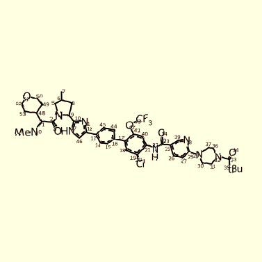 CNC(C(=O)N1CC(C)CC1c1nc(-c2ccc(-c3cc(Cl)c(NC(=O)c4ccc(N5CCN(C(=O)C(C)(C)C)CC5)nc4)cc3OC(F)(F)F)cc2)c[nH]1)C1CCOCC1